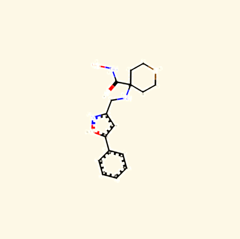 O=C(NO)C1(NCc2cc(-c3ccccc3)on2)CCSCC1